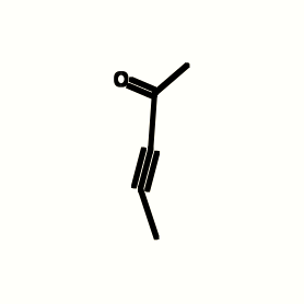 CC#CC(C)=O